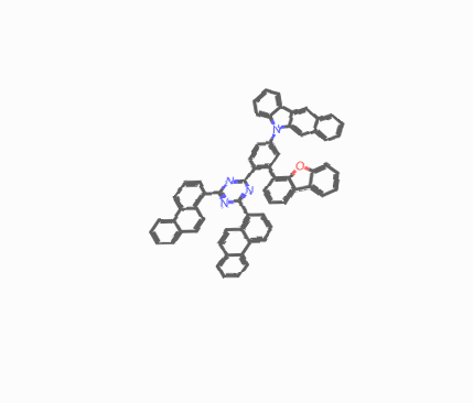 c1ccc2cc3c(cc2c1)c1ccccc1n3-c1ccc(-c2nc(-c3cccc4c3ccc3ccccc34)nc(-c3cccc4c3ccc3ccccc34)n2)c(-c2cccc3c2oc2ccccc23)c1